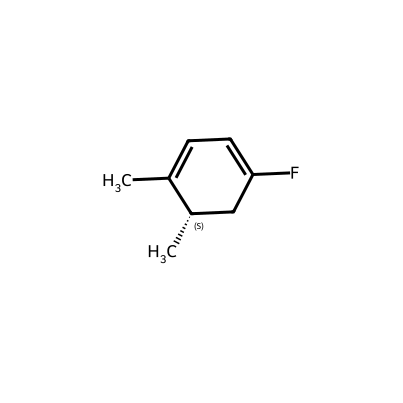 CC1=CC=C(F)C[C@@H]1C